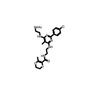 CC(=O)NCCNc1nc(-c2ccc(Cl)cc2)nc(NCCNC(=O)C2=C(C)OCCS2)c1C